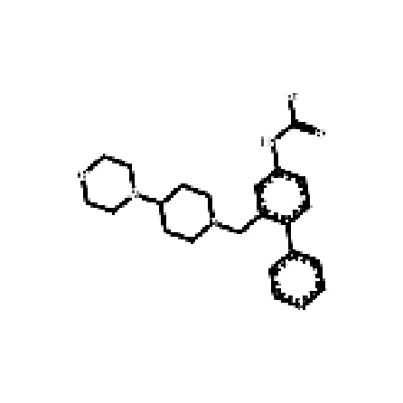 CCC(=O)Nc1ccc(-c2ccncc2)c(CN2CCC(N3CCOCC3)CC2)c1